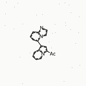 CC(=O)c1cc(-c2cccc3nccn23)c2ccccn12